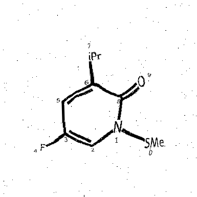 CSn1cc(F)cc(C(C)C)c1=O